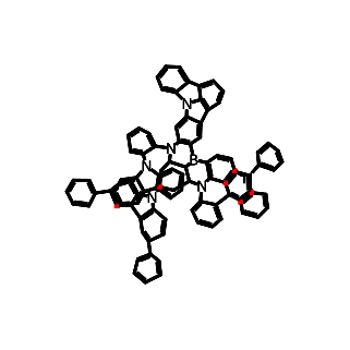 c1ccc(-c2ccc3c(c2)c2cc(-c4ccccc4)ccc2n3C2CC3C4B(c5ccc(N(c6ccccc6)c6ccccc6)cc5N3c3ccccc3-c3ccccc3)c3cc5c6cccc7c8ccccc8n(c5cc3N(c3ccccc3-n3c5ccccc5c5ccccc53)C4C2)c76)cc1